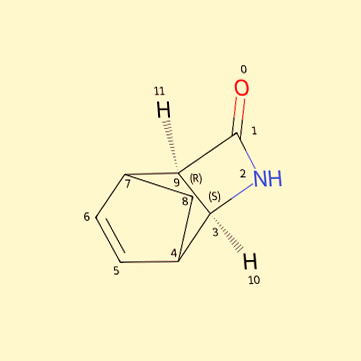 O=C1N[C@H]2C3C=CC(C3)[C@@H]12